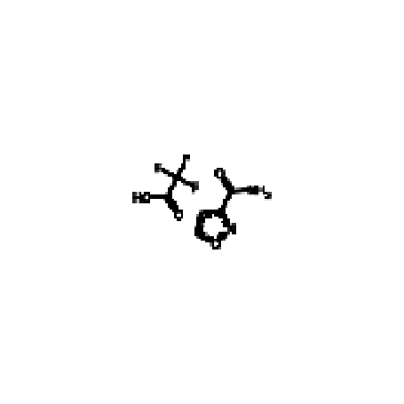 NC(=O)c1ccon1.O=C(O)C(F)(F)F